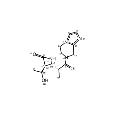 CC(C(=O)N1CCn2ccnc2C1)[C@H]1NC(=O)[C@@H]1C(C)O